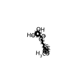 CS(=O)(=O)C(F)(F)C(F)(F)CCCCOC(=O)c1cc(O)cc(O)c1